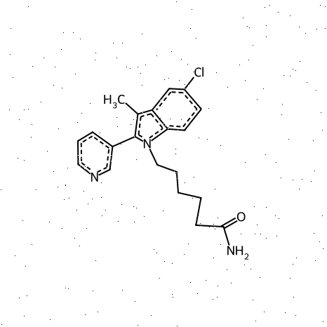 Cc1c(-c2cccnc2)n(CCCCCC(N)=O)c2ccc(Cl)cc12